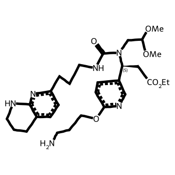 CCOC(=O)C[C@@H](c1ccc(OCCCN)nc1)N(CC(OC)OC)C(=O)NCCCc1ccc2c(n1)NCCC2